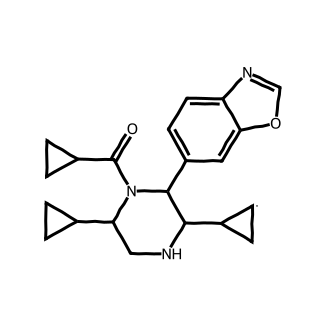 O=C(C1CC1)N1C(C2CC2)CNC(C2[CH]C2)C1c1ccc2ncoc2c1